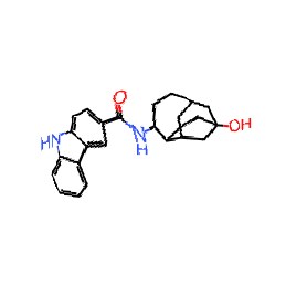 O=C(NC1CCC2CC3CC(O)(C2)CC31)c1ccc2[nH]c3ccccc3c2c1